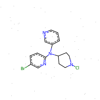 ClN1CCC(N(c2cccnc2)c2ccc(Br)cn2)CC1